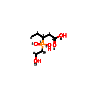 CCC(CC(=O)O)P(=O)(O)CCO